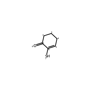 O=C1CCCC=C1S